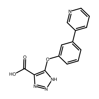 O=C(O)c1nn[nH]c1Oc1cccc(-c2cccnc2)c1